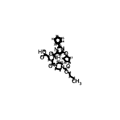 CCCCOC(=O)N1CCN(C(=O)[C@H](CCC(=O)O)NC(=O)c2cc(OC3CCCC3)nc(-c3ccccc3)n2)CC1